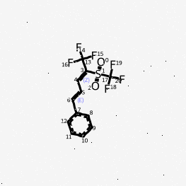 O=S(=O)(/C(=C\C=C\c1ccccc1)C(F)(F)F)C(F)(F)F